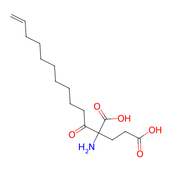 C=CCCCCCCCCC(=O)C(N)(CCC(=O)O)C(=O)O